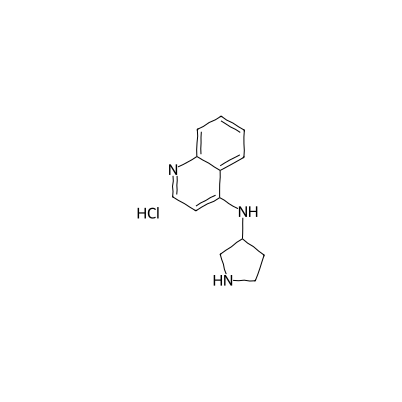 Cl.c1ccc2c(NC3CCNC3)ccnc2c1